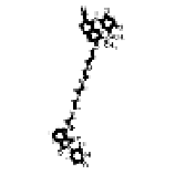 COc1cc(Nc2c(C#N)cnc3cc(OCCCOCCOCCOCCOCCNc4cccc5c4C(=O)N(C4CCC(=O)NC4=O)C5=O)c(OC)cc23)c(Cl)cc1Cl